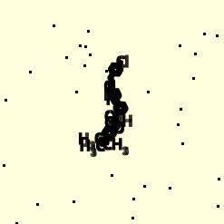 CC(C)(C)c1ccc(S(=O)(=O)NC(=O)c2cccc(-c3ccc(OCCc4ccc(Cl)cc4)nn3)c2)cc1